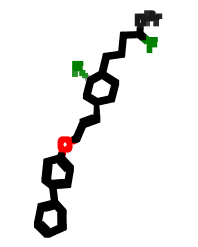 CCCC(F)CCCC1CC[C@@H](/C=C/COc2ccc(-c3ccccc3)cc2)C[C@@H]1F